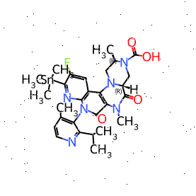 Cc1ccnc(C(C)C)c1-n1c(=O)c2c(c3cc(F)[c]([Sn]([CH3])([CH3])[CH3])nc31)N1C[C@@H](C)N(C(=O)O)C[C@@H]1C(=O)N2C